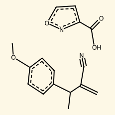 C=C(C#N)C(C)c1ccc(OC)cc1.O=C(O)c1ccon1